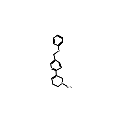 O=CN1CCC=C(c2ccc(COc3ccccc3)cn2)C1